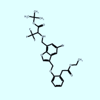 CCOC(=O)Cc1ccccc1OCc1coc2c(CNC(C(=O)OC(C)(C)C)C(F)(F)F)cc(Br)cc12